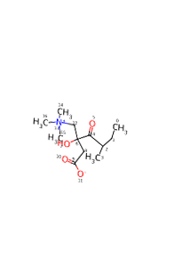 CCC(C)C(=O)C(O)(CC(=O)[O-])C[N+](C)(C)C